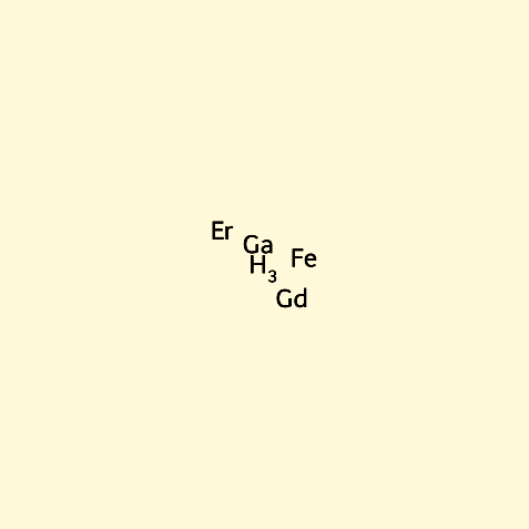 [Er].[Fe].[GaH3].[Gd]